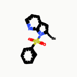 CC(C)(C)c1[c]c2cccnc2n1S(=O)(=O)c1ccccc1